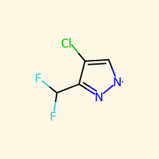 FC(F)C1=N[N]C=C1Cl